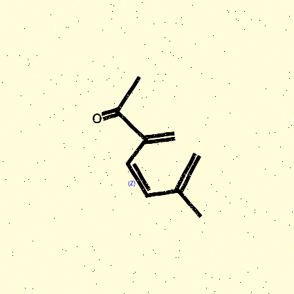 C=C(C)/C=C\C(=C)C(C)=O